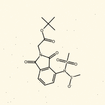 C[S+]([O-])N(c1cccc2c1C(=O)N(CC(=O)OC(C)(C)C)C2=O)S(C)(=O)=O